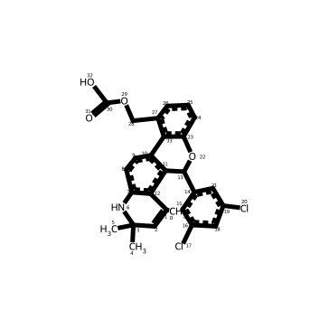 CC1=CC(C)(C)Nc2ccc3c(c21)C(c1cc(Cl)cc(Cl)c1)Oc1cccc(COC(=O)O)c1-3